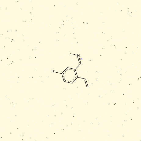 C=Cc1ccc(F)cc1/C=N\C